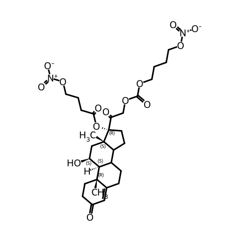 C[C@]12CCC(=O)C=C1CCC1C3CC[C@](OC(=O)CCCO[N+](=O)[O-])(C(=O)COC(=O)OCCCCO[N+](=O)[O-])[C@@]3(C)C[C@H](O)[C@@H]12